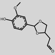 COc1cc(C2OCC(CC=O)O2)ccc1O